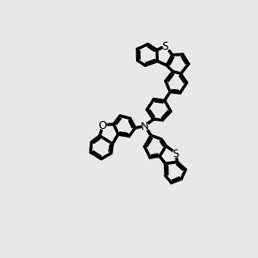 c1ccc2c(c1)oc1ccc(N(c3ccc(-c4ccc5ccc6sc7ccccc7c6c5c4)cc3)c3ccc4c(c3)sc3ccccc34)cc12